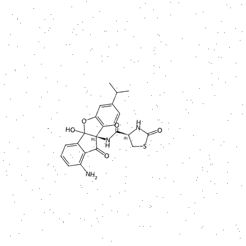 CC(C)c1ccc2c(c1)OC1(O)c3cccc(N)c3C(=O)[C@@]21NC(=O)[C@@H]1CSC(=O)N1